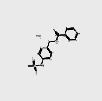 CS(=O)(=O)Nc1ccc(CNC(=O)c2ccccc2)cc1.Cl